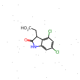 O=C(O)CC1C(=O)Nc2cc(Cl)cc(Cl)c21